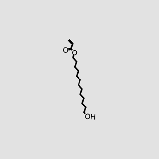 C=CC(=O)OCCCCCCCCCCCCCO